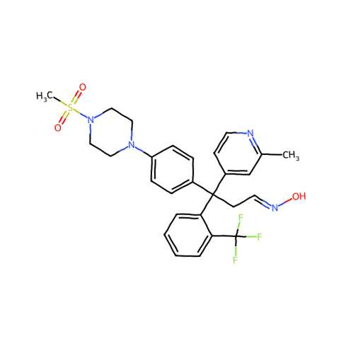 Cc1cc(C(C/C=N/O)(c2ccc(N3CCN(S(C)(=O)=O)CC3)cc2)c2ccccc2C(F)(F)F)ccn1